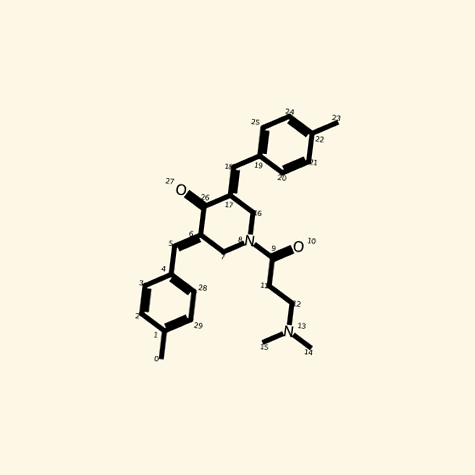 Cc1ccc(/C=C2\CN(C(=O)CCN(C)C)C/C(=C\c3ccc(C)cc3)C2=O)cc1